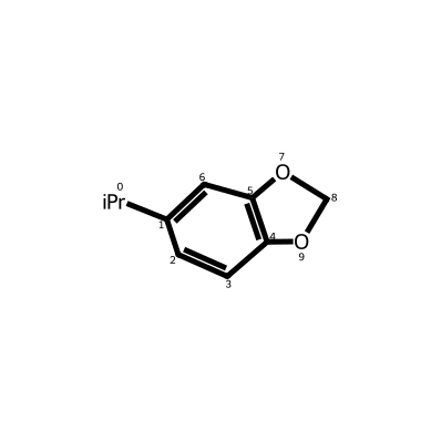 CC(C)c1ccc2c(c1)OCO2